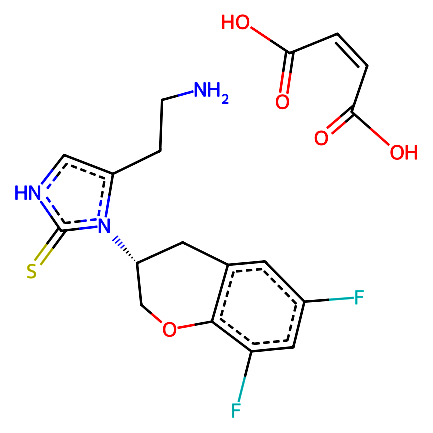 NCCc1c[nH]c(=S)n1[C@H]1COc2c(F)cc(F)cc2C1.O=C(O)/C=C\C(=O)O